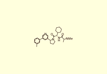 CNC(C)C(=O)N[C@H](C(=O)N1CCCC1c1cncc(-c2cccc(C)c2)c1)C1CCCCC1